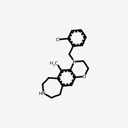 Cc1c2c(cc3c1N(Cc1ccccc1Cl)CCO3)CCNCC2